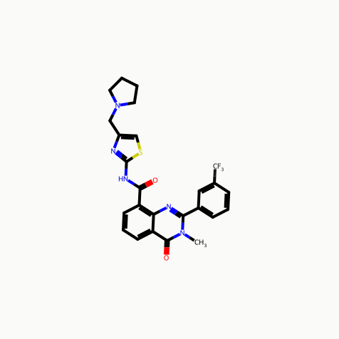 Cn1c(-c2cccc(C(F)(F)F)c2)nc2c(C(=O)Nc3nc(CN4CCCC4)cs3)cccc2c1=O